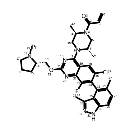 C=CC(=O)N1C[C@H](C)N(c2nc(OC[C@@H]3CCCN3C(C)C)nc3c(F)c(-c4c(C)ccc5[nH]nc(C)c45)c(Cl)cc23)C[C@H]1C